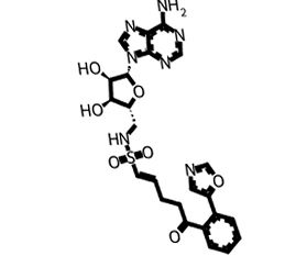 Nc1ncnc2c1ncn2[C@@H]1O[C@H](CNS(=O)(=O)/C=C/CCC(=O)c2ccccc2-c2cnco2)[C@@H](O)[C@H]1O